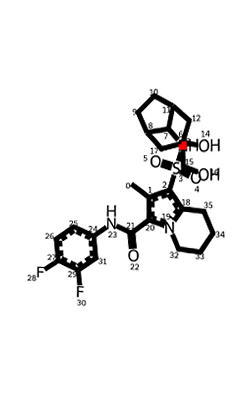 Cc1c(S(=O)(=O)NC2C3CCC2CC(O)(CO)C3)c2n(c1C(=O)Nc1ccc(F)c(F)c1)CCCC2